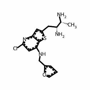 C[C@@H](N)[C@H](N)Cc1cc2nc(Cl)cc(NCc3ccco3)c2s1